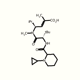 C/C(=C\[C@H](C(C)C)N(C)C(=O)[C@@H](NC(=O)C1CCCCN1C1CC1)C(C)(C)C)C(=O)O